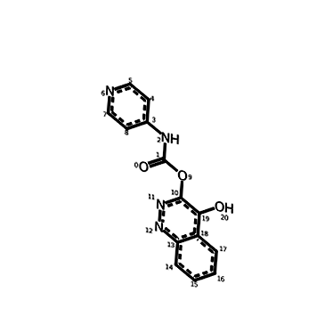 O=C(Nc1ccncc1)Oc1nnc2ccccc2c1O